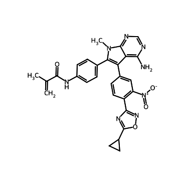 C=C(C)C(=O)Nc1ccc(-c2c(-c3ccc(-c4noc(C5CC5)n4)c([N+](=O)[O-])c3)c3c(N)ncnc3n2C)cc1